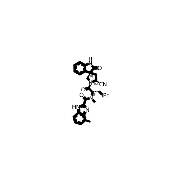 Cc1cccc2[nH]c(C(=O)N(C)[C@@H](CC(C)C)C(=O)N3C[C@]4(C[C@H]3C#N)C(=O)Nc3ccccc34)nc12